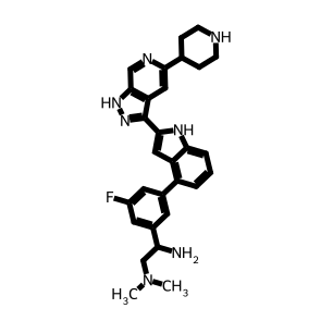 CN(C)CC(N)c1cc(F)cc(-c2cccc3[nH]c(-c4n[nH]c5cnc(C6CCNCC6)cc45)cc23)c1